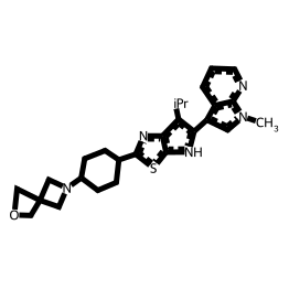 CC(C)c1c(-c2cn(C)c3ncccc23)[nH]c2sc(C3CCC(N4CC5(COC5)C4)CC3)nc12